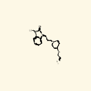 C=CCOC1CCN(CCCn2c(=O)n(C)c3ccccc32)CC1